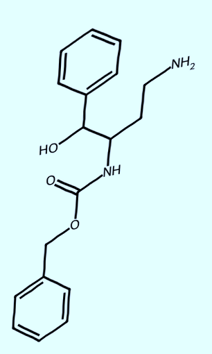 NCCC(NC(=O)OCc1ccccc1)C(O)c1ccccc1